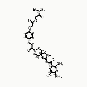 CCN(CC)C(=O)COC(=O)COc1ccc(CCC(=O)N2CCC3(CC2)CN/C(=N\C(=O)c2nc(Cl)c(N)nc2N)N3)cc1